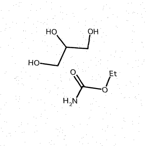 CCOC(N)=O.OCC(O)CO